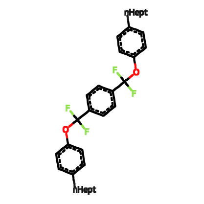 CCCCCCCc1ccc(OC(F)(F)c2ccc(C(F)(F)Oc3ccc(CCCCCCC)cc3)cc2)cc1